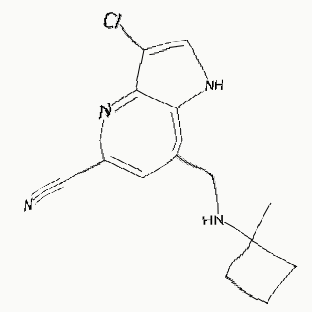 CC1(NCc2cc(C#N)nc3c(Cl)c[nH]c23)CCC1